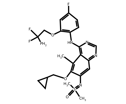 Cc1c(OCC2CC2)c(N=S(C)(C)=O)cc2ncnc(Nc3ccc(F)cc3OCC(F)(F)P)c12